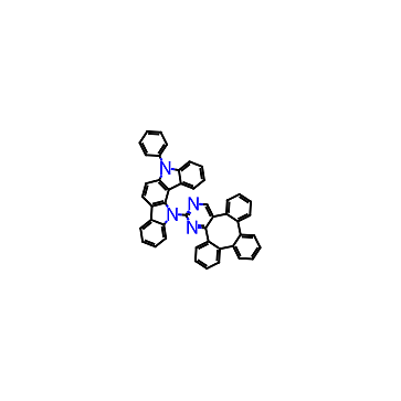 c1ccc(-n2c3ccccc3c3c2ccc2c4ccccc4n(-c4ncc5c(n4)-c4ccccc4-c4ccccc4-c4ccccc4-5)c23)cc1